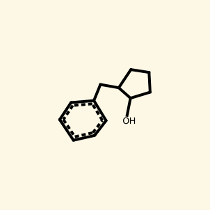 OC1CCCC1Cc1ccccc1